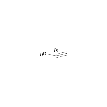 C#CO.[Fe]